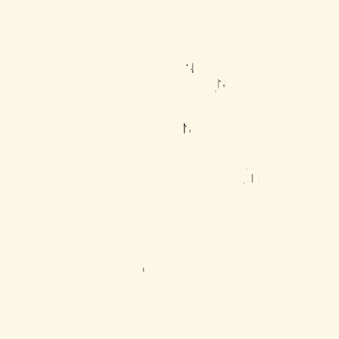 COc1ccc(-n2c(-c3ccccc3)nnc2C(C)O)cc1